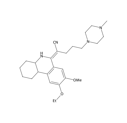 CCOc1cc2c(cc1OC)C(=C(C#N)CCCN1CCN(C)CC1)NC1CCCCC21